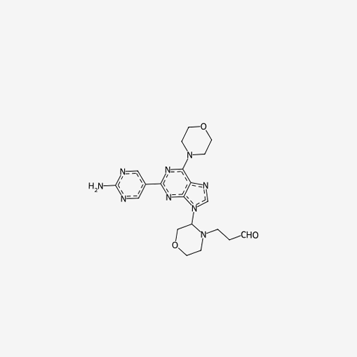 Nc1ncc(-c2nc(N3CCOCC3)c3ncn(C4COCCN4CCC=O)c3n2)cn1